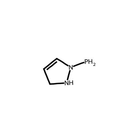 PN1C=CCN1